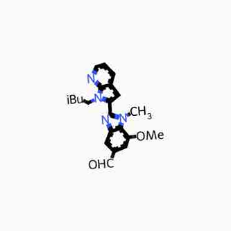 CCC(C)Cn1c(-c2nc3cc(C=O)cc(OC)c3n2C)cc2cccnc21